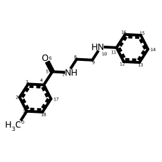 Cc1ccc(C(=O)NCCNc2ccccc2)cc1